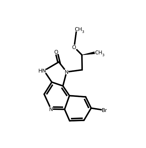 CO[C@@H](C)Cn1c(=O)[nH]c2cnc3ccc(Br)cc3c21